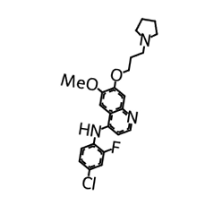 COc1cc2c(Nc3ccc(Cl)cc3F)ccnc2cc1OCCCN1CCCC1